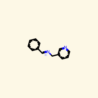 C(=N\Cc1cccnc1)/c1ccccc1